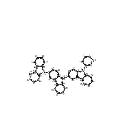 c1cncc(-n2c3ccc(-n4c5ccc(-n6c7ccccc7c7ncccc76)cc5c5ncccc54)cc3c3ncccc32)c1